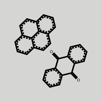 O=C1c2ccccc2C(=O)c2ccccc21.c1cc2ccc3cccc4ccc(c1)c2c34